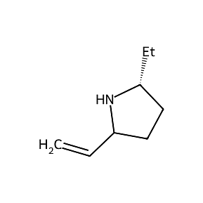 C=CC1CC[C@@H](CC)N1